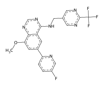 COc1cc(-c2ccc(F)cn2)cc2c(NCc3cnc(C(F)(F)F)nc3)ncnc12